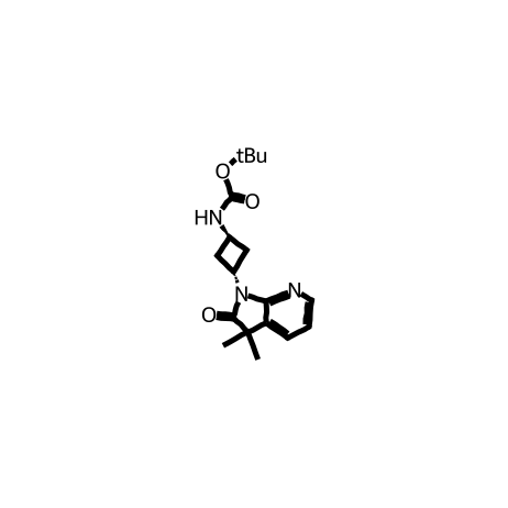 CC(C)(C)OC(=O)N[C@H]1C[C@H](N2C(=O)C(C)(C)c3cccnc32)C1